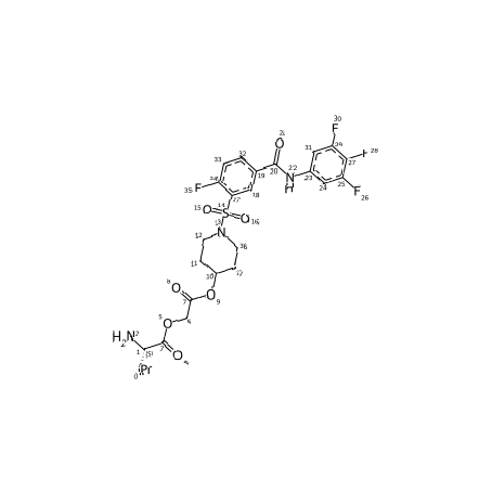 CC(C)[C@H](N)C(=O)OCC(=O)OC1CCN(S(=O)(=O)c2cc(C(=O)Nc3cc(F)c(F)c(F)c3)ccc2F)CC1